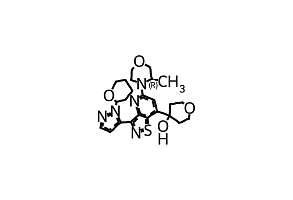 C[C@@H]1COCCN1c1cc(C2(O)CCOCC2)c2snc(-c3ccnn3C3CCCCO3)c2n1